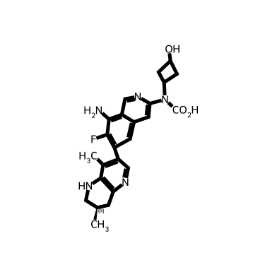 Cc1c(-c2cc3cc(N(C(=O)O)C4CC(O)C4)ncc3c(N)c2F)cnc2c1NC[C@H](C)C2